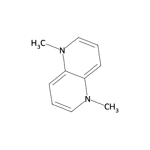 CN1C=CC=C2C1=CC=CN2C